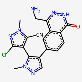 Cn1nc(Cl)c(-c2c(-c3ccc4c(=O)[nH]nc(CN)c4c3)cnn2C)c1C#N